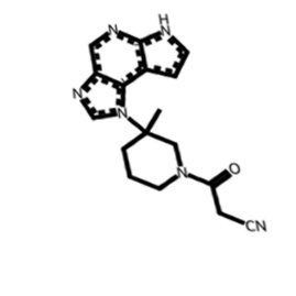 CC1(n2cnc3cnc4[nH]ccc4c32)CCCN(C(=O)CC#N)C1